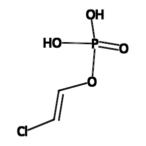 O=P(O)(O)OC=CCl